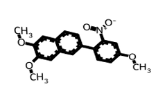 COc1ccc(-c2ccc3cc(OC)c(OC)cc3c2)c([N+](=O)[O-])c1